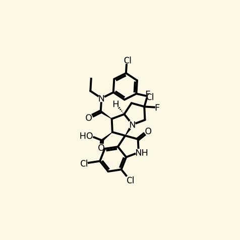 CCN(C(=O)[C@H]1[C@H]2CC(F)(F)CN2[C@]2(C(=O)Nc3c(Cl)cc(Cl)cc32)[C@H]1C(=O)O)c1cc(Cl)cc(Cl)c1